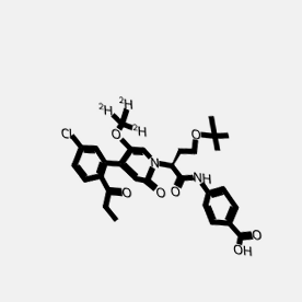 [2H]C([2H])([2H])Oc1cn([C@@H](CCOC(C)(C)C)C(=O)Nc2ccc(C(=O)O)cc2)c(=O)cc1-c1cc(Cl)ccc1C(=O)CC